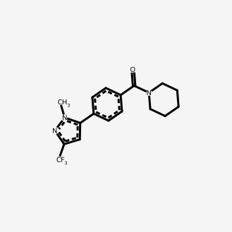 Cn1nc(C(F)(F)F)cc1-c1ccc(C(=O)N2CCCCC2)cc1